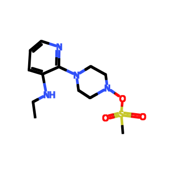 CCNc1cccnc1N1CCN(OS(C)(=O)=O)CC1